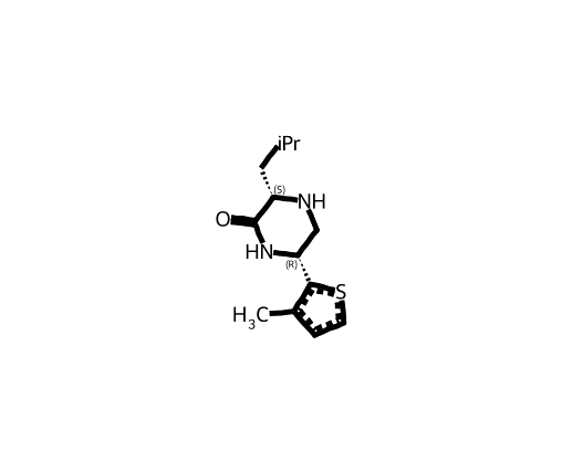 Cc1ccsc1[C@H]1CN[C@@H](CC(C)C)C(=O)N1